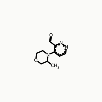 CC1COCCN1c1ccnnc1C=O